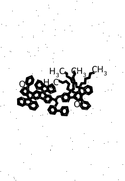 CCCCCCCC1(CCCCCCC)c2ccccc2-c2c1c1c(c3oc4ccccc4c23)-c2ccc(CC(Cc3ccccc3-c3ccccc3)c3ccc4c(c3)C3(c5ccccc5-c5ccccc53)c3cc5c(cc3-4)C3(c4ccccc4-c4ccccc43)c3ccc4oc6ccccc6c4c3-5)cc2C1(CCCCCC)CCCCCC